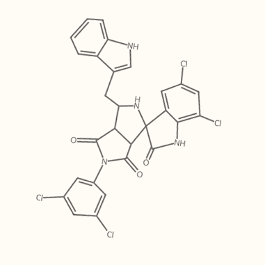 O=C1C2C(Cc3c[nH]c4ccccc34)NC3(C(=O)Nc4c(Cl)cc(Cl)cc43)C2C(=O)N1c1cc(Cl)cc(Cl)c1